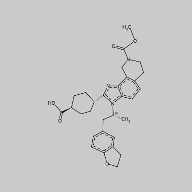 COC(=O)N1CCc2ccc3c(nc([C@H]4CC[C@H](C(=O)O)CC4)n3[C@H](C)Cc3ccc4c(c3)CCO4)c2C1